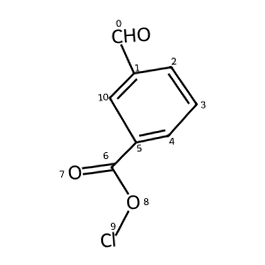 O=Cc1cccc(C(=O)OCl)c1